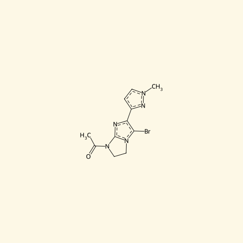 CC(=O)N1CCn2c1nc(-c1ccn(C)n1)c2Br